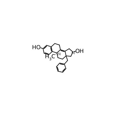 C[C@@]12CCC3(Cc4ccccc4)C[C@H](O)CC3=C1CCc1cc(O)ccc12